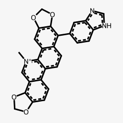 C[n+]1cc2c3c(ccc2c2ccc4c(-c5ccc6[nH]cnc6c5)c5c(cc4c21)OCO5)OCO3